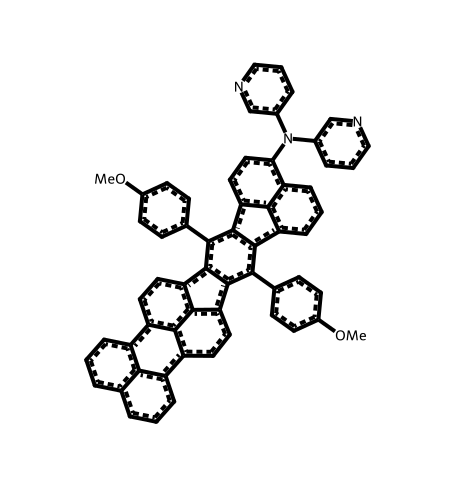 COc1ccc(-c2c3c4cccc5c(N(c6cccnc6)c6cccnc6)ccc(c3c(-c3ccc(OC)cc3)c3c6ccc7c8cccc9cccc(c%10ccc(c23)c6c%107)c98)c54)cc1